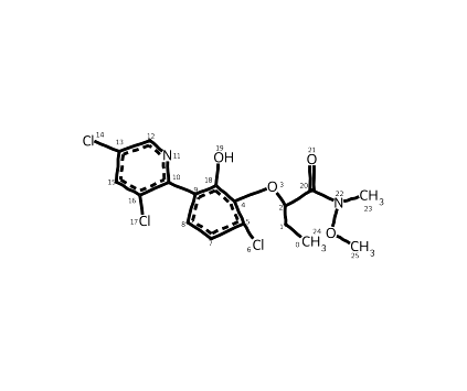 CCC(Oc1c(Cl)ccc(-c2ncc(Cl)cc2Cl)c1O)C(=O)N(C)OC